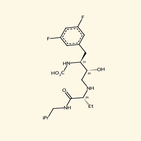 CC[C@@H](NC[C@@H](O)[C@H](Cc1cc(F)cc(F)c1)NC(=O)O)C(=O)NCC(C)C